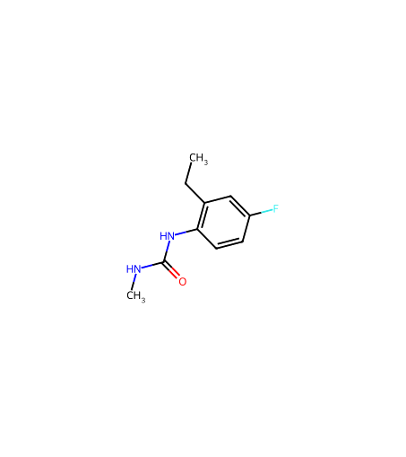 CCc1cc(F)ccc1NC(=O)NC